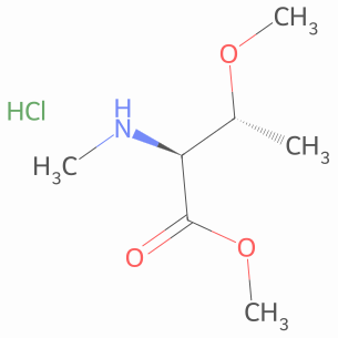 CN[C@H](C(=O)OC)[C@@H](C)OC.Cl